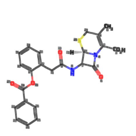 CC1=C(C(=O)O)N2C(=O)C(NC(=O)Cc3ccccc3OC(=O)c3ccccc3)[C@H]2SC1